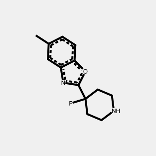 Cc1ccc2oc(C3(F)CCNCC3)nc2c1